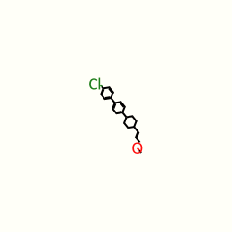 COC/C=C/C1CCC(c2ccc(-c3ccc(Cl)cc3)cc2)CC1